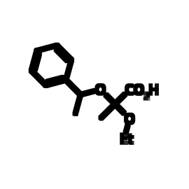 CCOC(C)(OC(C)c1ccccc1)C(=O)O